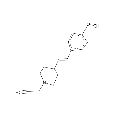 C#CCN1CCC(/C=C/c2ccc(OC)cc2)CC1